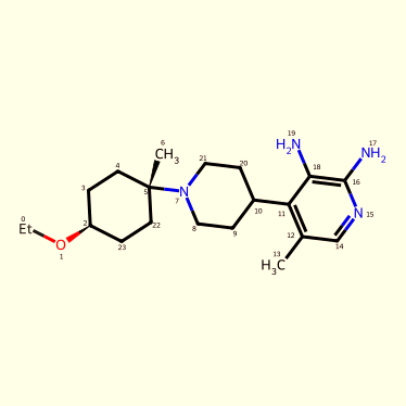 CCO[C@H]1CC[C@](C)(N2CCC(c3c(C)cnc(N)c3N)CC2)CC1